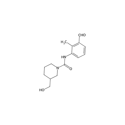 Cc1c(C=O)cccc1NC(=O)N1CCCC(CO)C1